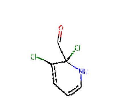 O=CC1(Cl)NC=CC=C1Cl